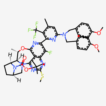 COc1ccc(CN(Cc2ccc(OC)cc2)c2cc(C)c(C(F)(F)F)c(-c3nc4c5c(nc(SC)nc5c3F)N3C[C@H]5CC[C@@H]([C@H]3[C@H](C)O4)N5C(=O)OC(C)(C)C)n2)cc1